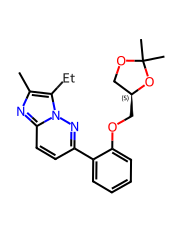 CCc1c(C)nc2ccc(-c3ccccc3OC[C@H]3COC(C)(C)O3)nn12